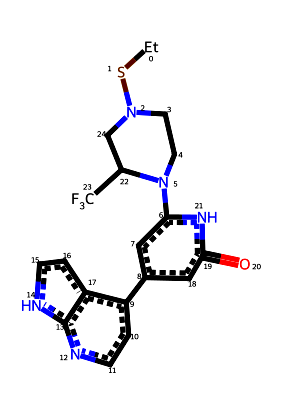 CCSN1CCN(c2cc(-c3ccnc4[nH]ccc34)cc(=O)[nH]2)C(C(F)(F)F)C1